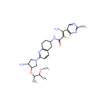 COC(C)C(C)OC1CN(c2ccc3c(n2)CCC(NC(=O)c2sc4nc(C)ncc4c2N)C3)CC1N